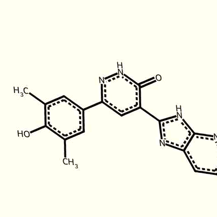 Cc1cc(-c2cc(-c3nc4cccnc4[nH]3)c(=O)[nH]n2)cc(C)c1O